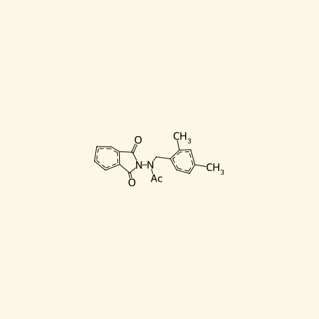 CC(=O)N(Cc1ccc(C)cc1C)N1C(=O)c2ccccc2C1=O